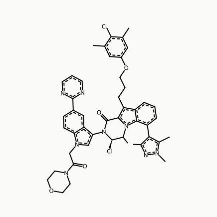 Cc1cc(OCCCc2c3n(c4c(-c5c(C)nn(C)c5C)cccc24)C(C)[C@@H](Cl)N(c2cn(CC(=O)N4CCOCC4)c4ccc(-c5ncccn5)cc24)C3=O)cc(C)c1Cl